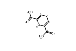 O=C(O)C1=CCC=C(C(=O)O)O1